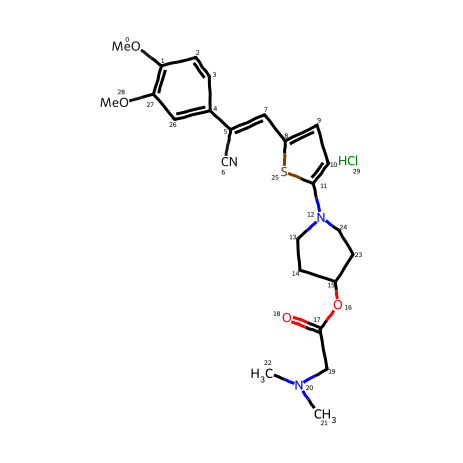 COc1ccc(C(C#N)=Cc2ccc(N3CCC(OC(=O)CN(C)C)CC3)s2)cc1OC.Cl